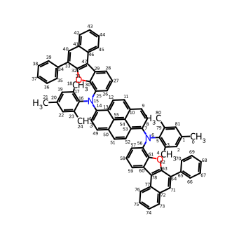 Cc1cc(C)c(N(c2ccc3ccc4c(N(c5c(C)cc(C)cc5C)c5cccc6c5oc5c(-c7ccccc7)cc7ccccc7c56)ccc5ccc2c3c54)c2cccc3c2oc2c(-c4ccccc4)cc4ccccc4c23)c(C)c1